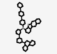 c1ccc(-c2ccc(-c3ccc(N(c4cccc(-c5cccc(-c6cc7ccccc7c7ccccc67)c5)c4)c4cccc5c4sc4cc6ccccc6cc45)cc3)cc2)cc1